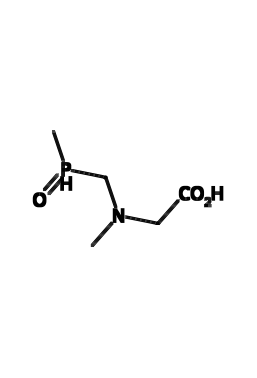 CN(CC(=O)O)C[PH](C)=O